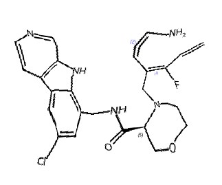 C=C/C(F)=C(\C=C/N)CN1CCOC[C@H]1C(=O)Nc1cc(Cl)cc2c1[nH]c1cnccc12